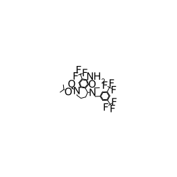 CC(=O)N(Cc1cc(C(F)(F)F)cc(C(F)(F)F)c1)C1CCCN(C(=O)OC(C)C)c2cc(C(F)(F)F)c(N)cc21